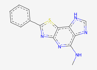 CNc1nc2nc(-c3ccccc3)sc2c2[nH]cnc12